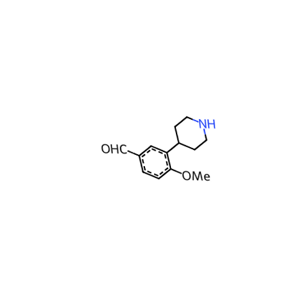 COc1ccc(C=O)cc1C1CCNCC1